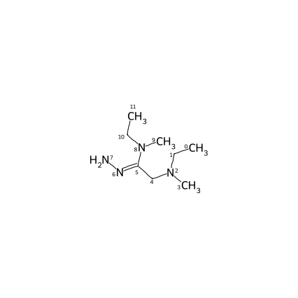 CCN(C)C/C(=N/N)N(C)CC